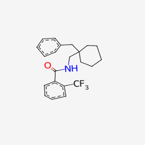 O=C(NCC1(Cc2ccccc2)CCCCC1)c1ccccc1C(F)(F)F